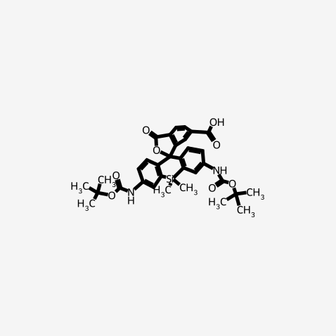 CC(C)(C)OC(=O)Nc1ccc2c(c1)[Si](C)(C)c1cc(NC(=O)OC(C)(C)C)ccc1C21OC(=O)c2ccc(C(=O)O)cc21